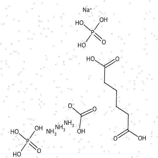 N.N.N.O=C(O)CCCCC(=O)O.O=C([O-])O.O=P(O)(O)O.O=P(O)(O)O.[Na+]